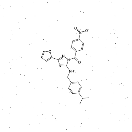 CC(C)c1ccc(CNc2nc(-c3ccco3)nn2C(=O)c2ccc([N+](=O)[O-])cc2)cc1